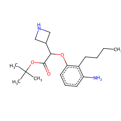 CCCCc1c(N)cccc1OC(C(=O)OC(C)(C)C)C1CNC1